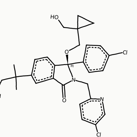 CC(C)(CO)c1ccc2c(c1)C(=O)N(Cc1ccc(Cl)cn1)[C@@]2(OCC1(CO)CC1)c1ccc(Cl)cc1